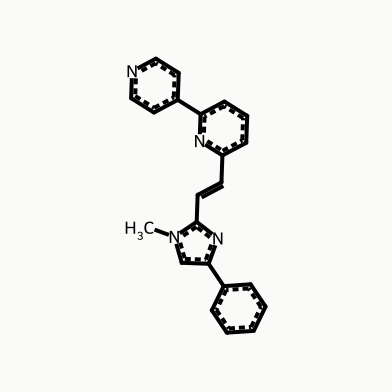 Cn1cc(-c2ccccc2)nc1C=Cc1cccc(-c2ccncc2)n1